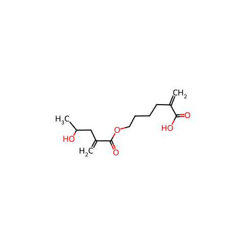 C=C(CCCCOC(=O)C(=C)CC(C)O)C(=O)O